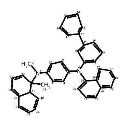 CN(c1ccc(N(c2cccc(-c3ccccc3)c2)c2cccc3ccccc23)cc1)C1(C)C=CC=C2C=CC=CC21